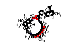 CO[C@H]1/C=C/O[C@@]2(C)Oc3c(C)c(O)c4c(O)c(c(/C=N/N5CCC(C6CCCN(c7c(F)cn8c(=O)c(C)cc(C9CC9)c8c7C)C6)C5)c(O)c4c3C2=O)NC(=O)/C(C)=C\C=C\[C@H](C)[C@H](O)[C@@H](C)[C@@H](O)[C@@H](C)[C@H](OC(C)=O)[C@@H]1C